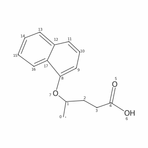 [CH2]C(CCC(=O)O)Oc1cccc2ccccc12